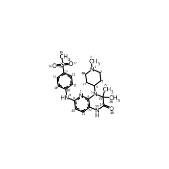 CN1CCC(N2c3nc(Nc4ccc(S(C)(=O)=O)cc4)ccc3NC(=O)C2(C)C)CC1